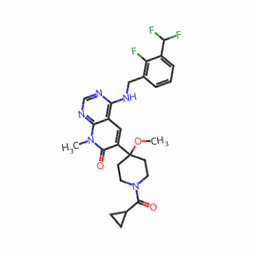 COC1(c2cc3c(NCc4cccc(C(F)F)c4F)ncnc3n(C)c2=O)CCN(C(=O)C2CC2)CC1